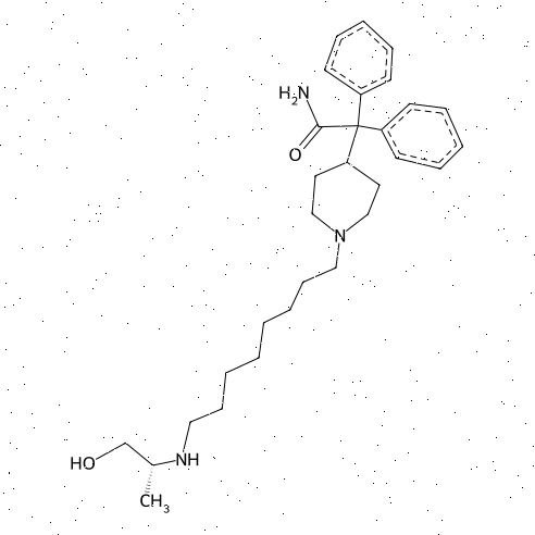 C[C@H](CO)NCCCCCCCCN1CCC(C(C(N)=O)(c2ccccc2)c2ccccc2)CC1